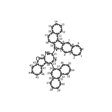 c1ccc2cc3c(cc2c1)c1c2ccccc2ccc1n3-c1nc(-c2cc3ccccc3c3ccccc23)c2c(n1)oc1ccccc12